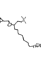 CCCCCCCCCCCCCCCCCC(CC[Si](C)(C)C)OCC1CO1